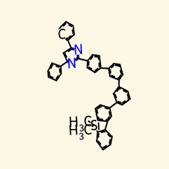 C[Si]1(C)c2ccccc2-c2cc(-c3cccc(-c4cccc(-c5ccc(-c6nc(-c7ccccc7)cc(-c7ccccc7)n6)cc5)c4)c3)ccc21